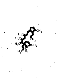 C=C/C=C1\C(=C/CC(=C)CC(C)C(C)C(C=C)(CCC)CCC(C)F)CCC1C